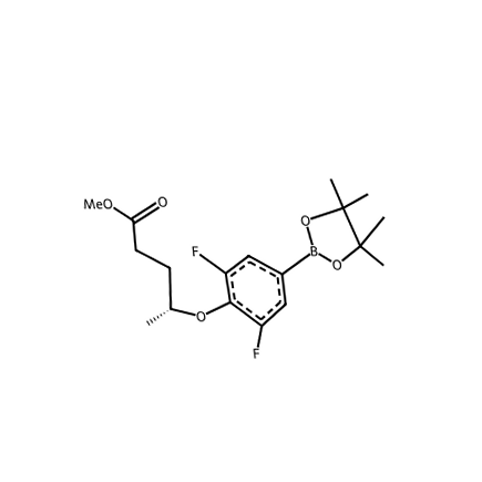 COC(=O)CC[C@@H](C)Oc1c(F)cc(B2OC(C)(C)C(C)(C)O2)cc1F